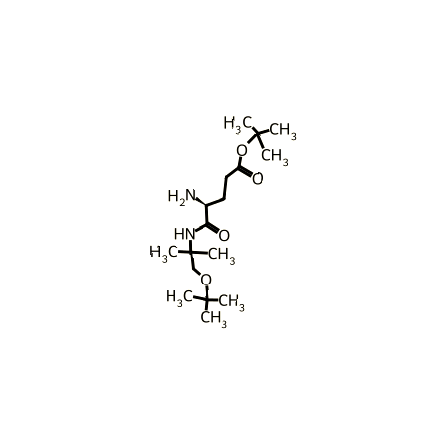 CC(C)(COC(C)(C)C)NC(=O)[C@@H](N)CCC(=O)OC(C)(C)C